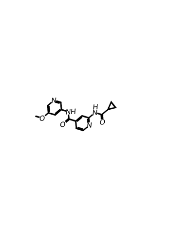 COc1cncc(NC(=O)c2ccnc(NC(=O)C3CC3)c2)c1